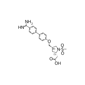 CS(=O)(=O)N1C[C@H](COc2ccc(-c3ccc(C(=N)N)cc3)cc2)C[C@H]1CC(=O)O